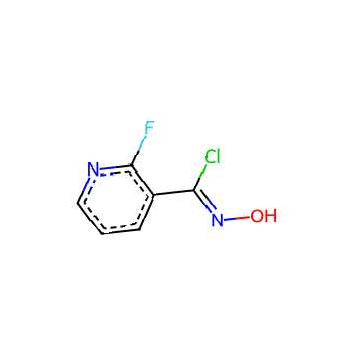 ON=C(Cl)c1cccnc1F